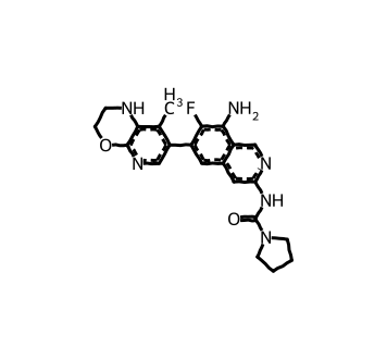 Cc1c(-c2cc3cc(NC(=O)N4CCCC4)ncc3c(N)c2F)cnc2c1NCCO2